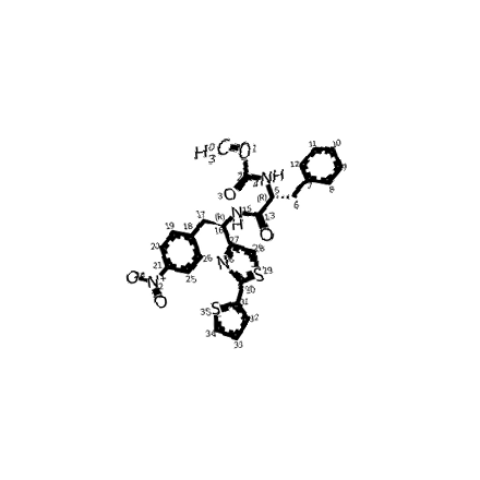 COC(=O)N[C@H](Cc1ccccc1)C(=O)N[C@H](Cc1ccc([N+](=O)[O-])cc1)c1csc(-c2cccs2)n1